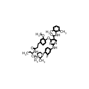 CC[C@@H](C)NC(=O)CCc1ccc(Oc2nc(Nc3ccc(N4CCN(C)C(C)C4)c(F)c3)ncc2C(=O)Nc2c(C)cccc2C)c(OC)c1